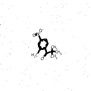 Cc1cc([N+](=O)[O-])ccc1C(=O)C(C)(C)C